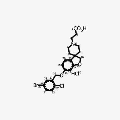 Cl.O=C(O)CCN1CCC2(CC1)COc1cc(OCc3cc(Br)ccc3Cl)ccc12